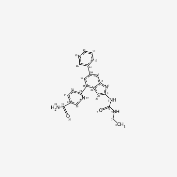 CCNC(=O)Nc1nc2cc(-c3cccnc3)cc(-c3ccc(C(N)=O)cn3)c2s1